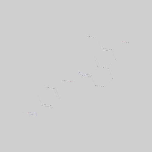 COc1cc2c(cc1OC)/C(=N/OCc1ccc(N=O)cc1)CCC2